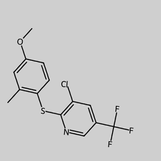 COc1ccc(Sc2ncc(C(F)(F)F)cc2Cl)c(C)c1